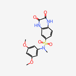 COc1cc(OC)cc(N(C)S(=O)(=O)c2ccc3[nH]c(=O)c(=O)[nH]c3c2)c1